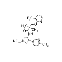 Cc1ccc(C2CN(CC#N)CC2NC(=O)C(C)(C)COc2ncccc2C(F)(F)F)cn1